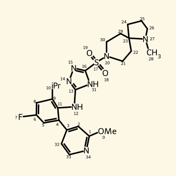 COc1cc(-c2cc(F)cc(C(C)C)c2Nc2nnc(S(=O)(=O)N3CCC4(CCCN4C)CC3)[nH]2)ccn1